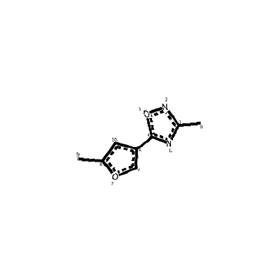 Cc1noc(-c2coc(C)c2)n1